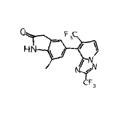 Cc1cc(-c2c(C(F)(F)F)ccn3nc(C(F)(F)F)nc23)cc2c1NC(=O)C2